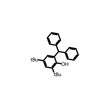 CC(C)(C)c1cc(C(c2ccccc2)c2ccccc2)c(O)c(C(C)(C)C)c1